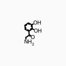 NCC(=O)c1cccc(O)c1O